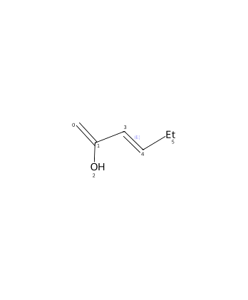 C=C(O)/C=C/CC